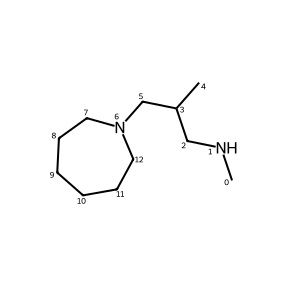 CNCC(C)CN1CCCCCC1